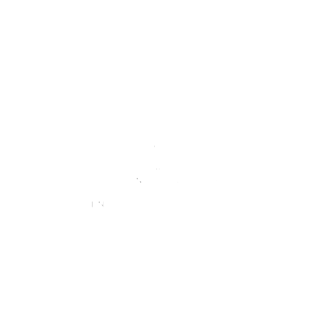 O=C(OCO)N1CCNCC1c1ccccc1